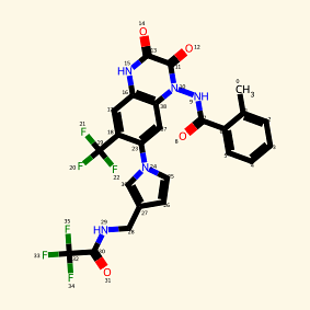 Cc1ccccc1C(=O)Nn1c(=O)c(=O)[nH]c2cc(C(F)(F)F)c(-n3ccc(CNC(=O)C(F)(F)F)c3)cc21